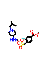 COC(=O)c1ccc(CS(=O)(=O)OCNC2CCN(C[C](C)C)CC2)c(F)c1